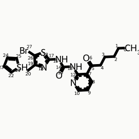 CCCCCC(=O)c1cccnc1NC(=O)Nc1nc(C[SH]2C=CC=C2)c(Br)s1